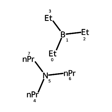 CCB(CC)CC.CCCN(CCC)CCC